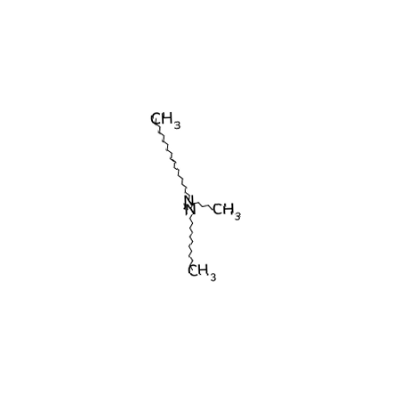 CCCCCCCCCCCCCCCCCCCN1C=CN(CCCCCCCCCCCCC)C1CCCCC